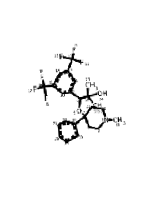 CN1CCC(OC(c2cc(C(F)(F)F)cc(C(F)(F)F)c2)C(C)(C)O)(c2ccccc2)CC1